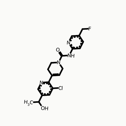 CC(O)c1cnc(C2=CCN(C(=O)Nc3ccc(CF)cn3)CC2)c(Cl)c1